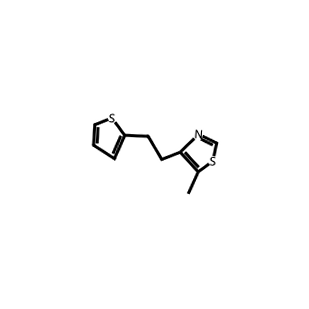 Cc1scnc1CCc1cccs1